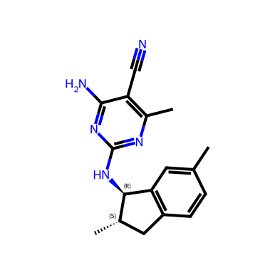 Cc1ccc2c(c1)[C@H](Nc1nc(C)c(C#N)c(N)n1)[C@@H](C)C2